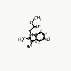 COC(=O)Cn1c(C)c(Br)c2cc(Cl)ccc21